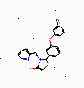 O=C1CSC(c2cccc(Oc3cccc(C(F)(F)F)c3)c2)N1Cc1ccccn1